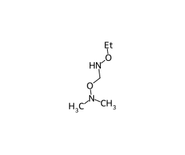 CCONCON(C)C